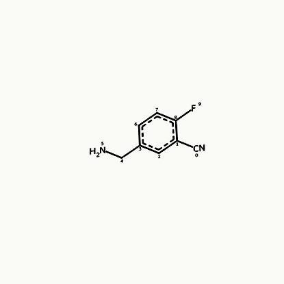 N#Cc1cc(CN)ccc1F